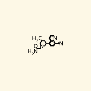 C[C@@H]1C[C@@H](c2ccc(C#N)c3ncccc23)CN(CC(N)=O)C1